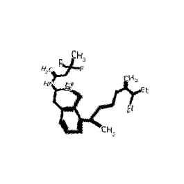 C=C(CC(C)(F)F)NC1BCc2c(cccc2C(=C)CCCC(=C)C(CC)CC)C1